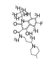 [2H]c1c(F)c([2H])c2c(O)c(C(=O)N([2H])CCC([2H])N3CCC(C)CC3)c(=O)n(C([2H])([2H])C([2H])([2H])[2H])c2c1[2H]